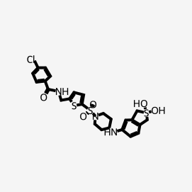 O=C(NCc1ccc(S(=O)(=O)N2CCC(Nc3ccc4c(c3)CS(O)(O)C4)CC2)s1)c1ccc(Cl)cc1